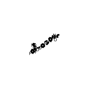 CCC(C)n1ncn(-c2ccc(N3CCN(c4ccc(OC[C@H]5OC[C@](Cn6nccn6)(c6ccc(F)cc6F)O5)cc4)CC3)cc2)c1=O